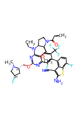 C=CC(=O)N1CCC(N(CC)c2nc(OC[C@@H]3C[C@@H](F)CN3C)nc3c(F)c(-c4ccc(F)c5sc(N)c(C#N)c45)c(C(F)(F)F)cc23)C1COC